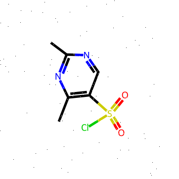 Cc1ncc(S(=O)(=O)Cl)c(C)n1